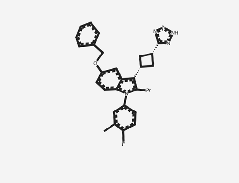 Cc1cc(-n2c(C(C)C)c([C@H]3C[C@@H](c4nn[nH]n4)C3)c3cc(OCc4ccccc4)ccc32)ccc1F